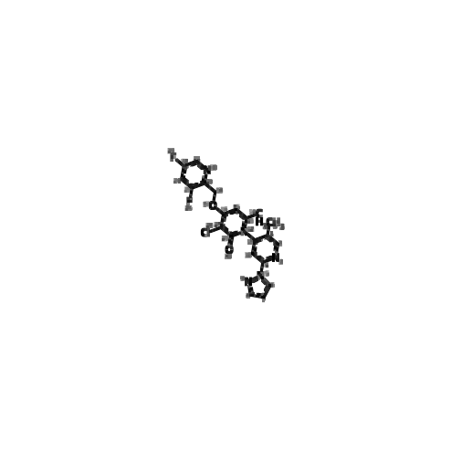 Cc1cnc(-n2cccn2)cc1-n1c(C)cc(OCc2ncc(F)cc2F)c(Cl)c1=O